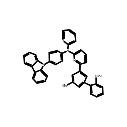 COc1ccccc1-c1cc(-c2cccc(N(c3ccc(-n4c5ccccc5c5ccccc54)cc3)c3ccccn3)n2)cc(C(C)(C)C)c1